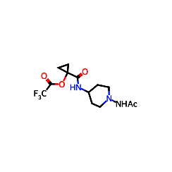 CC(=O)NN1CCC(NC(=O)C2(OC(=O)C(F)(F)F)CC2)CC1